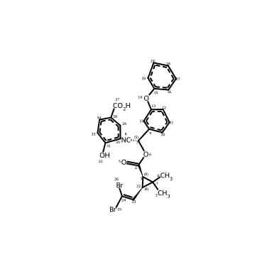 CC1(C)[C@H](C(=O)O[C@H](C#N)c2cccc(Oc3ccccc3)c2)[C@@H]1C=C(Br)Br.O=C(O)c1ccc(O)cc1